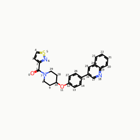 O=C(c1ccsn1)N1CCC(Oc2ccc(-c3cnc4ccccc4c3)cc2)CC1